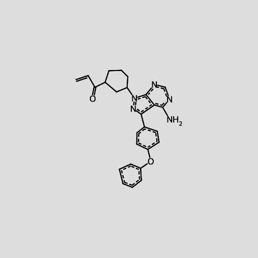 C=CC(=O)C1CCCC(n2nc(-c3ccc(Oc4ccccc4)cc3)c3c(N)ncnc32)C1